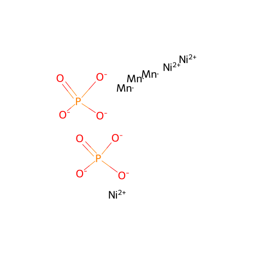 O=P([O-])([O-])[O-].O=P([O-])([O-])[O-].[Mn].[Mn].[Mn].[Ni+2].[Ni+2].[Ni+2]